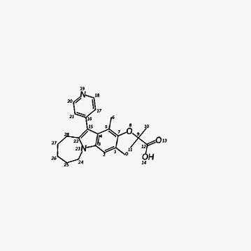 Cc1cc2c(c(C)c1OC(C)(C)C(=O)O)c(-c1ccncc1)c1n2CCCCC1